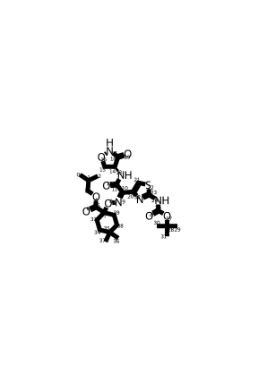 CC(C)COC(=O)C1(O/N=C(\C(=O)N[C@H]2CONC2=O)c2csc(NC(=O)OC(C)(C)C)n2)CCC(C)(C)CC1